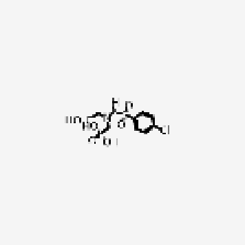 O=C(O)CN(CP(=O)(O)O)NS(=O)(=O)c1ccc(Cl)cc1